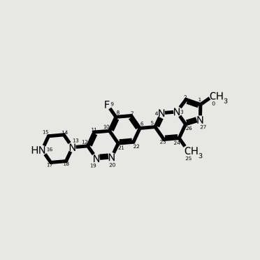 Cc1cn2nc(-c3cc(F)c4cc(N5CCNCC5)nnc4c3)cc(C)c2n1